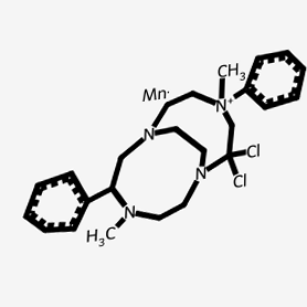 CN1CCN2CCN(CC[N+](C)(c3ccccc3)CC2(Cl)Cl)CC1c1ccccc1.[Mn]